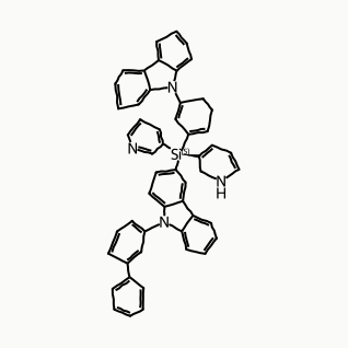 C1=CNCC([Si@](C2=CCCC(n3c4ccccc4c4ccccc43)=C2)(c2cccnc2)c2ccc3c(c2)c2ccccc2n3-c2cccc(-c3ccccc3)c2)=C1